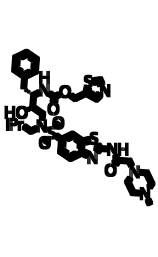 CC(C)CN(C[C@@H](O)[C@H](Cc1ccccc1)NC(=O)OCc1cncs1)S(=O)(=O)c1ccc2nc(NC(=O)CN3CCN(C)CC3)sc2c1